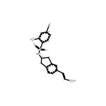 O=C(O)C=Cc1ccc2c(c1)CC(NS(=O)(=O)c1ccc(Br)cc1C(F)(F)F)C2